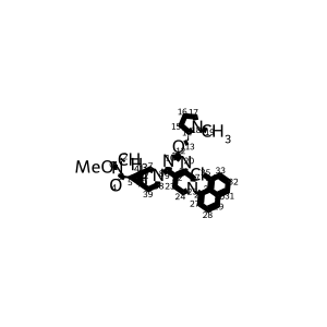 CON(C)C(=O)[C@H]1[C@@H]2CN(c3nc(OC[C@@H]4CCCN4C)nc4c3CCN(c3cccc5cccc(Cl)c35)C4)CC[C@@H]21